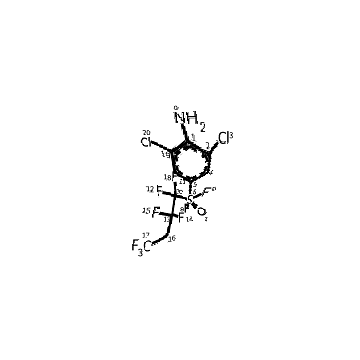 Nc1c(Cl)cc(S(=O)(F)(F)C(F)(F)C(F)(F)CC(F)(F)F)cc1Cl